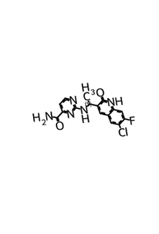 C[C@H](Nc1nccc(C(N)=O)n1)c1cc2cc(Cl)c(F)cc2[nH]c1=O